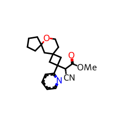 COC(=O)C(C#N)C1(c2ccccn2)CC2(CCOC3(CCCC3)C2)C1